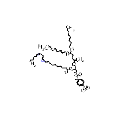 C=C(CCC(OCCCCCCCC)OCCCCCCCC)OCC(COC(=O)CCCCCCC/C=C\C/C=C\CCCCC)COC(=O)Oc1ccc([N+](=O)[O-])cc1